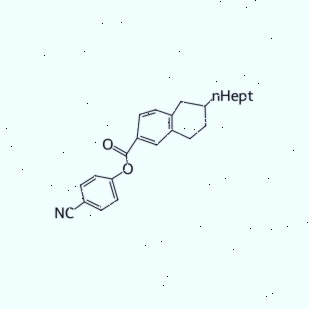 CCCCCCCC1CCc2cc(C(=O)Oc3ccc(C#N)cc3)ccc2C1